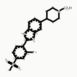 CCOC(=O)N1CCC(c2ccc3nc(-c4ccc(S(C)(=O)=O)cc4F)oc3c2)CC1